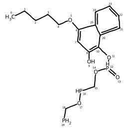 CCCCCOc1cc(O)c(O[PH](=O)OCPOCP)c2ccccc12